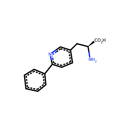 N[C@@H](Cc1ccc(-c2ccccc2)nc1)C(=O)O